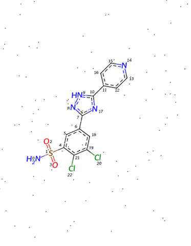 NS(=O)(=O)c1cc(-c2n[nH]c(-c3ccncc3)n2)cc(Cl)c1Cl